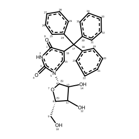 O=c1[nH]c(=O)n([C@H]2O[C@@H](CO)C(O)C2O)cc1C(c1ccccc1)(c1ccccc1)c1ccccc1